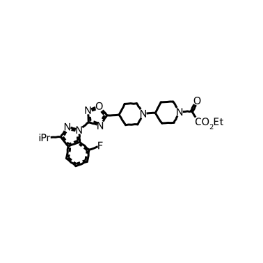 CCOC(=O)C(=O)N1CCC(N2CCC(c3nc(-n4nc(C(C)C)c5cccc(F)c54)no3)CC2)CC1